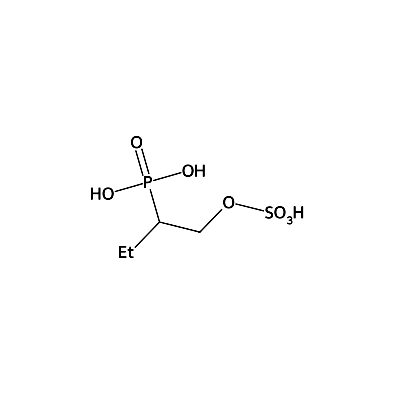 CCC(COS(=O)(=O)O)P(=O)(O)O